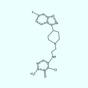 Cn1ncc(NCCN2CCC(c3noc4cc(F)ccc34)CC2)c(Cl)c1=O